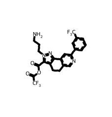 NCCCn1nc2c(c1C(=O)OC(=O)C(F)(F)F)CCc1cnc(-c3cccc(C(F)(F)F)c3)cc1-2